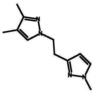 Cc1cn(CCc2ccn(C)n2)nc1C